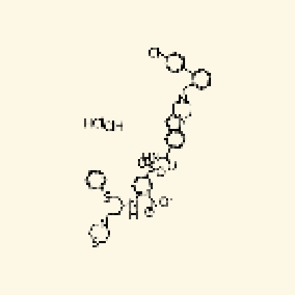 Cl.Cl.O=C(NS(=O)(=O)c1ccc(NC(CCN2CCSCC2)CSc2ccccc2)c([N+](=O)[O-])c1)c1ccc2c(c1)cc1n2CCN(Cc2ccccc2-c2ccc(Cl)cc2)C1